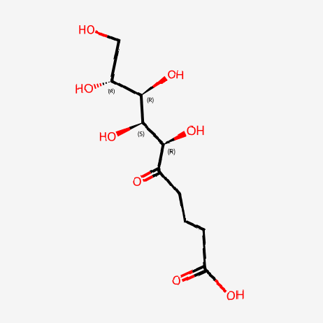 O=C(O)CCCC(=O)[C@H](O)[C@@H](O)[C@H](O)[C@H](O)CO